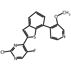 COc1cnccc1-c1cccc2cc(-c3nc(Cl)ncc3F)sc12